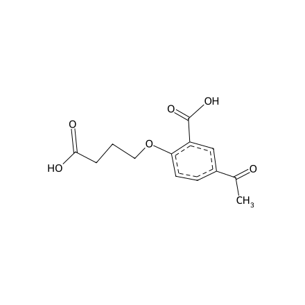 CC(=O)c1ccc(OCCCC(=O)O)c(C(=O)O)c1